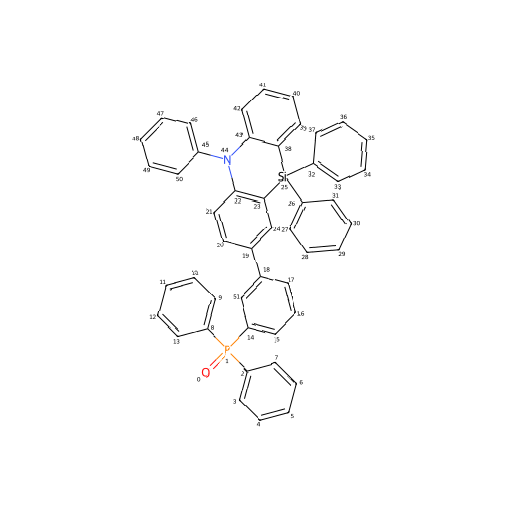 O=P(c1ccccc1)(c1ccccc1)c1cccc(-c2ccc3c(c2)[Si](c2ccccc2)(c2ccccc2)c2ccccc2N3c2ccccc2)c1